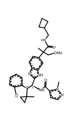 COCC(C)(C(=O)NCC1CCC1)c1ccc2nc([C@@H](NC(=O)c3ccnn3C)[C@H](c3ccccc3Cl)C3(C)CC3)[nH]c2c1